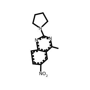 Cc1nc(N2CCCC2)nc2ccc([N+](=O)[O-])cc12